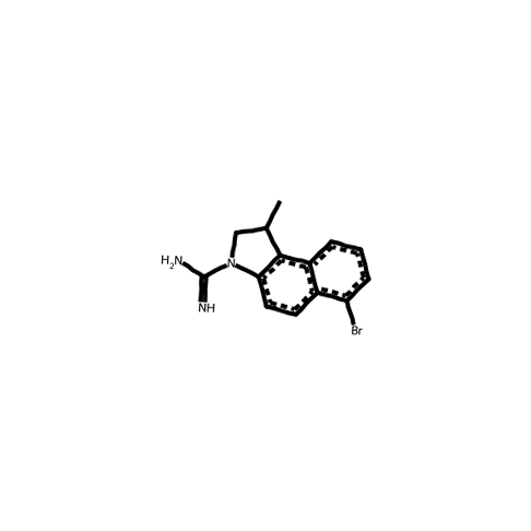 CC1CN(C(=N)N)c2ccc3c(Br)cccc3c21